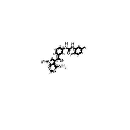 Cc1ccc(F)c(NC(=O)Nc2cccc(C(=O)c3cn(C(C)C)c4ncnc(N)c34)c2)c1